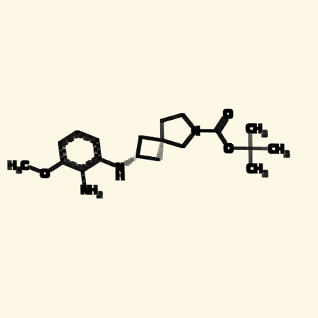 COc1cccc(N[C@H]2C[C@@]3(CCN(C(=O)OC(C)(C)C)C3)C2)c1N